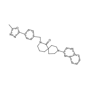 Cc1nnc(-c2ccc(CN3CCCC4(CCN(c5cnc6ccccc6n5)CC4)C3=O)cc2)o1